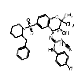 CC1(C)Oc2ccc(S(=O)(=O)N3CCCCC3Cc3ccccc3)cc2[C@@H](N=C(NC#N)Nc2ccc(Cl)cc2)[C@@H]1O